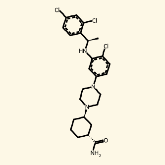 C[C@@H](Nc1cc(N2CCN([C@@H]3CCC[C@@H](C(N)=O)C3)CC2)ccc1Cl)c1ccc(Cl)cc1Cl